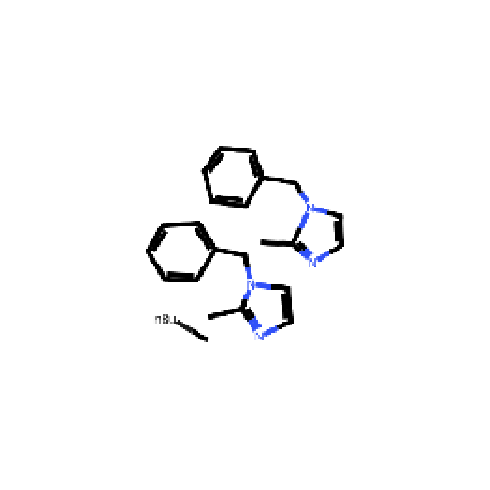 CCCCC.Cc1nccn1Cc1ccccc1.Cc1nccn1Cc1ccccc1